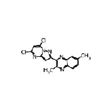 Cc1ccc2nc(C)c(-c3cc4nc(Cl)cc(Cl)n4n3)nc2c1